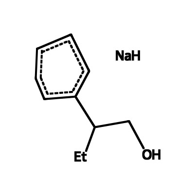 CCC(CO)c1ccccc1.[NaH]